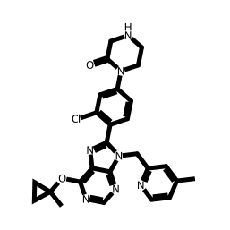 Cc1ccnc(Cn2c(-c3ccc(N4CCNCC4=O)cc3Cl)nc3c(OC4(C)CC4)ncnc32)c1